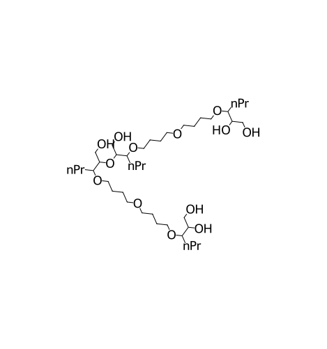 CCCC(OCCCCOCCCCOC(CCC)C(CO)OC(CO)C(CCC)OCCCCOCCCCOC(CCC)C(O)CO)C(O)CO